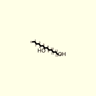 CCCCCCC(O)CCCCCCO